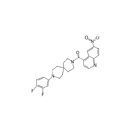 O=C(c1ccnc2ccc([N+](=O)[O-])cc12)N1CCC2(CC1)CCN(c1ccc(F)c(F)c1)CC2